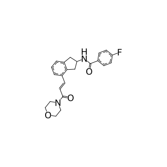 O=C(NC1Cc2cccc(/C=C/C(=O)N3CCOCC3)c2C1)c1ccc(F)cc1